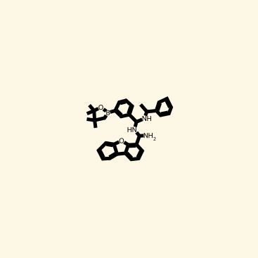 CC(NC(NC(N)c1cccc2c1oc1ccccc12)c1cccc(B2CC(C)(C)C(C)(C)O2)c1)c1ccccc1